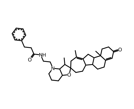 CC1=C2CC3C(CCC4=CC(=O)CCC43C)C2CCC2(C1)OC1CCCN(CCNC(=O)CCc3ccccc3)C1C2C